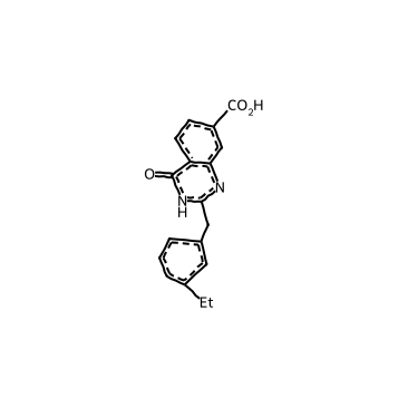 CCc1cccc(Cc2nc3cc(C(=O)O)ccc3c(=O)[nH]2)c1